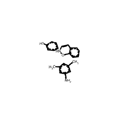 C1=Cc2ccccc2ON1.Cc1cc(C)cc(N)c1.Oc1ccccc1